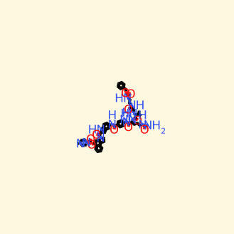 CC(C)C(NCC(=O)NCCNC(=O)OCc1ccccc1)C(=O)NC(CCCNC(N)=O)C(=O)Nc1ccc(C(=O)Nc2ccc3[nH]c(C(=O)N4CCc5c4cc(OC(=O)N4CCN(C)CC4)c4ccccc54)cc3c2)cc1